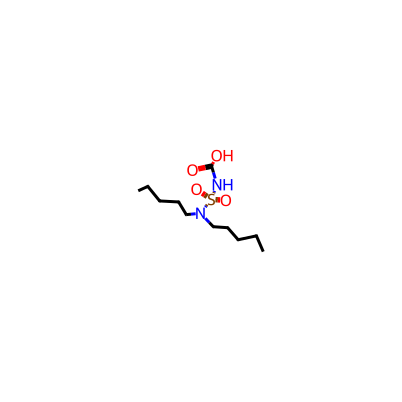 CCCCCN(CCCCC)S(=O)(=O)NC(=O)O